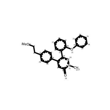 COCCc1ccc(-c2cc(=O)n(C)nc2-c2ccccc2Oc2ccccc2)cc1